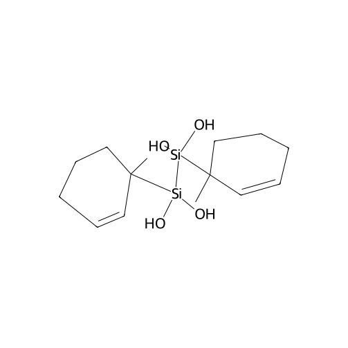 CC1([Si](O)(O)[Si](O)(O)C2(C)C=CCCC2)C=CCCC1